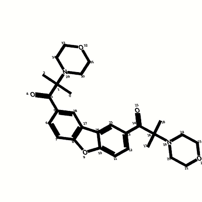 CC(C)(C(=O)c1ccc2oc3ccc(C(=O)C(C)(C)N4CCOCC4)cc3c2c1)N1CCOCC1